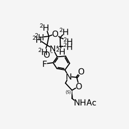 [2H]C1([2H])OC([2H])([2H])C([2H])([2H])[N+]([O-])(c2ccc(N3C[C@H](CNC(C)=O)OC3=O)cc2F)C1([2H])[2H]